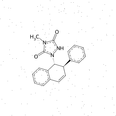 Cn1c(=O)[nH]n([C@H]2c3ccccc3C=C[C@@H]2c2ccccc2)c1=O